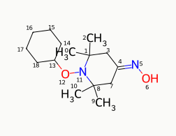 CC1(C)CC(=NO)CC(C)(C)N1OC1CCCCC1